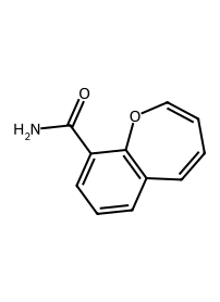 NC(=O)c1cccc2c1OC=CC=C2